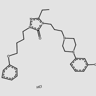 CCc1nn(CCCCOc2ccccc2)c(=O)n1CCCN1CCN(c2cccc(Cl)c2)CC1.Cl